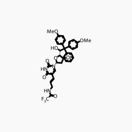 COc1ccc(C(c2ccccc2)(c2ccc(OC)cc2)C(O)[C@H]2O[C@@H](n3cc(/C=C/CNC(=O)C(F)(F)F)c(=O)[nH]c3=O)C[C@@H]2O)cc1